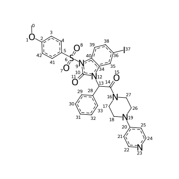 COc1ccc(S(=O)(=O)n2c(=O)n(C(C(=O)N3CCN(c4ccncc4)CC3)c3ccccc3)c3cc(I)ccc32)cc1